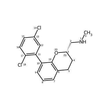 CNC[C@@H]1CCc2cccc(-c3cc(Cl)ccc3Cl)c2O1